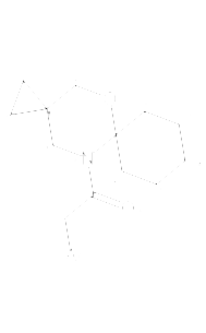 CC(=O)CC(=O)N1CC2(CC2)COC12CCCCC2